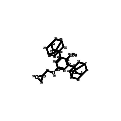 CC(C)(C)c1c(C23CC4CC(CC(C4)C2)C3)cc(OCC2CO2)cc1C12CC3CC(CC(C3)C1)C2